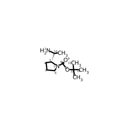 CC(N)[C@H]1CCCN1C(=O)OC(C)(C)C